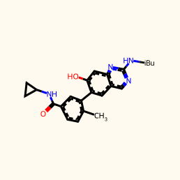 CCC(C)Nc1ncc2cc(-c3cc(C(=O)NC4CC4)ccc3C)c(O)cc2n1